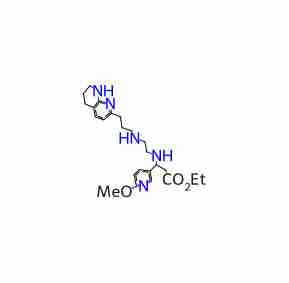 CCOC(=O)CC(NCCNCCCc1ccc2c(n1)NCCC2)c1ccc(OC)nc1